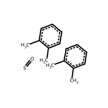 Cc1ccccc1C.Cc1ccccc1C.O=S